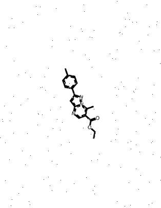 CCOC(=O)c1cnc2cc(-c3ccc(C)cc3)nn2c1C